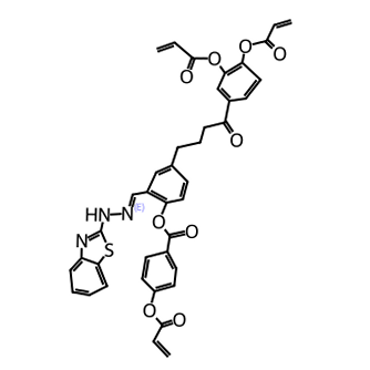 C=CC(=O)Oc1ccc(C(=O)Oc2ccc(CCCC(=O)c3ccc(OC(=O)C=C)c(OC(=O)C=C)c3)cc2/C=N/Nc2nc3ccccc3s2)cc1